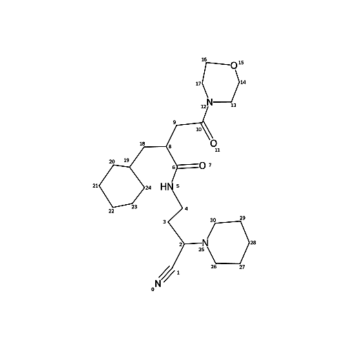 N#CC(CCNC(=O)C(CC(=O)N1CCOCC1)CC1CCCCC1)N1CCCCC1